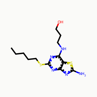 CCCCCSc1nc(NCCCO)c2sc(N)nc2n1